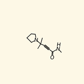 CNC(=O)C#CC(C)(C)N1CCCC1